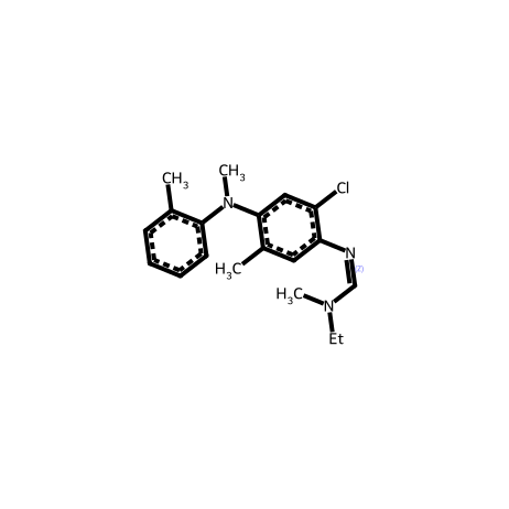 CCN(C)/C=N\c1cc(C)c(N(C)c2ccccc2C)cc1Cl